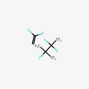 C=C(F)F.FC(F)(F)C(F)(F)C(F)(C(F)(F)F)C(F)(F)F